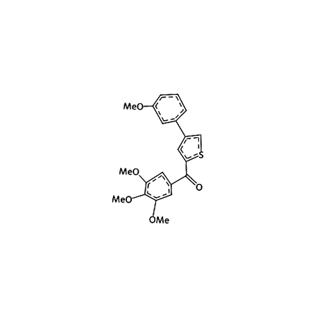 COc1cccc(-c2csc(C(=O)c3cc(OC)c(OC)c(OC)c3)c2)c1